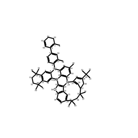 CC1=C(c2ccc(N3c4cc5c(cc4B4c6oc7ccc8cc7c6N(C6=CC(CC(C(C)(C)C)=C6)C(C)(C)CC8(C)C)c6cc(C)cc3c64)C(C)(C)CCC5(C)C)c(C)c2)C=CCC1